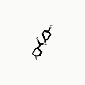 CC1CCC(C(=O)Oc2ccc(Cl)cc2)CC1